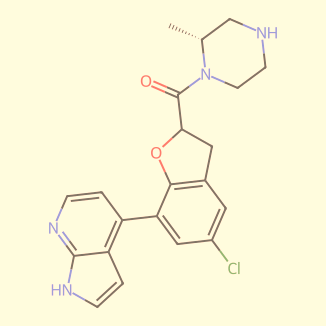 C[C@@H]1CNCCN1C(=O)C1Cc2cc(Cl)cc(-c3ccnc4[nH]ccc34)c2O1